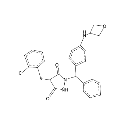 O=C1NN(C(c2ccccc2)c2ccc(NC3COC3)cc2)C(=O)C1Sc1ccccc1Cl